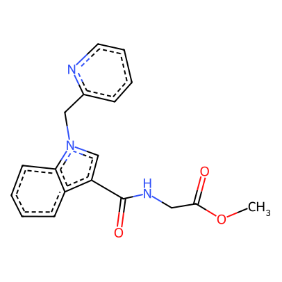 COC(=O)CNC(=O)c1cn(Cc2ccccn2)c2ccccc12